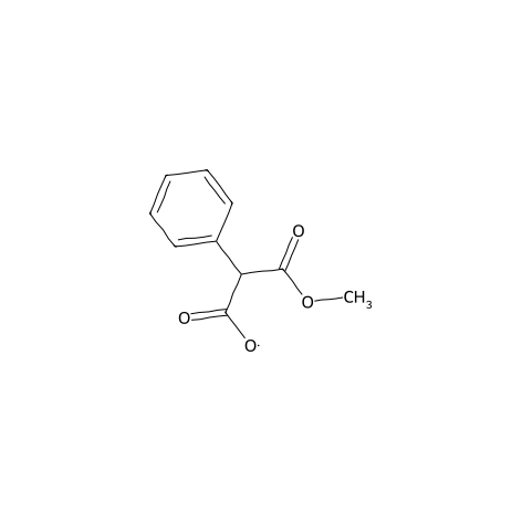 COC(=O)C(C([O])=O)c1ccccc1